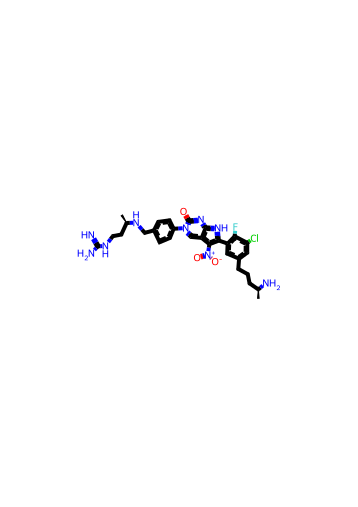 C[C@H](N)CCCc1cc(Cl)c(F)c(-c2[nH]c3nc(=O)n(-c4ccc(CN[C@H](C)CCNC(=N)N)cc4)cc3c2[N+](=O)[O-])c1